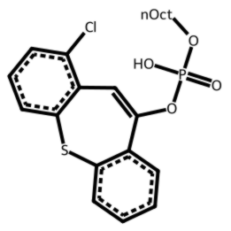 CCCCCCCCOP(=O)(O)OC1=Cc2c(Cl)cccc2Sc2ccccc21